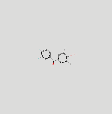 CC(C)c1cc(C(=O)c2ccc(F)c(F)c2)cc(C(C)C)c1O